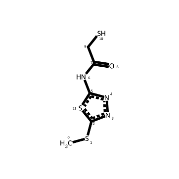 CSc1nnc(NC(=O)CS)s1